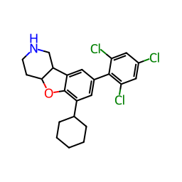 Clc1cc(Cl)c(-c2cc(C3CCCCC3)c3c(c2)C2CNCCC2O3)c(Cl)c1